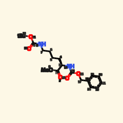 COC(=O)[C@@H](CCCCNC(=O)OC(C)(C)C)NC(=O)OCc1ccccc1